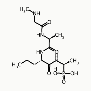 CCC[C@H](NC(=O)[C@H](C)NC(=O)CNC)C(=O)N[C@@H](C)P(=O)(O)O